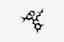 CC(CCNC=O)C(Cc1cc(Cl)cc(Cl)c1)c1cc(C(F)F)nc2ncnn12